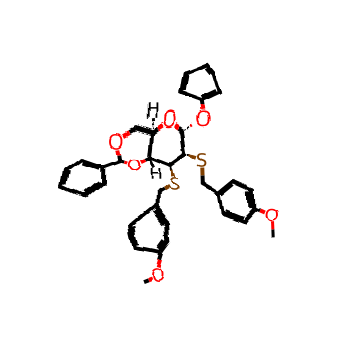 COc1ccc(CS[C@@H]2[C@@H](Oc3ccccc3)O[C@@H]3COC(c4ccccc4)O[C@H]3[C@@H]2SCc2ccc(OC)cc2)cc1